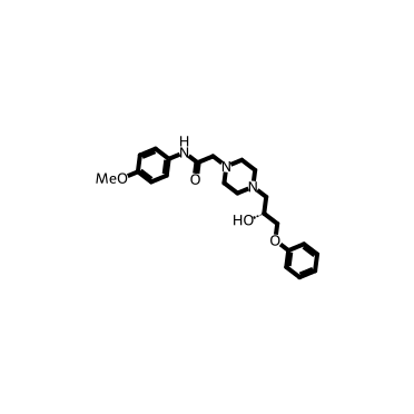 COc1ccc(NC(=O)CN2CCN(C[C@@H](O)COc3ccccc3)CC2)cc1